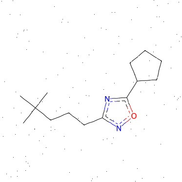 CC(C)(C)CCCc1noc(C2CCCC2)n1